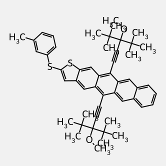 COC(C#Cc1c2cc3ccccc3cc2c(C#CC(OC)(C(C)(C)C)C(C)(C)C)c2cc3sc(Sc4cccc(C)c4)cc3cc12)(C(C)(C)C)C(C)(C)C